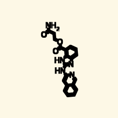 NC(=O)CCOC(=O)c1cccc2nc(Nc3cc4ccccc4cn3)[nH]c12